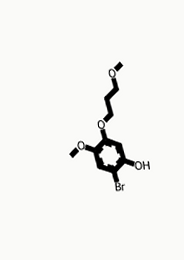 COCCCOc1cc(O)c(Br)cc1OC